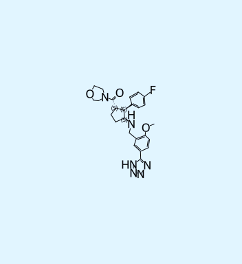 COc1ccc(-c2nnn[nH]2)cc1CN[C@H]1CC[C@H](C(=O)N2CCOCC2)[C@H]1c1ccc(F)cc1